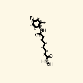 O=C(CCCCCCC(=O)Nc1ccc(F)cc1F)NO